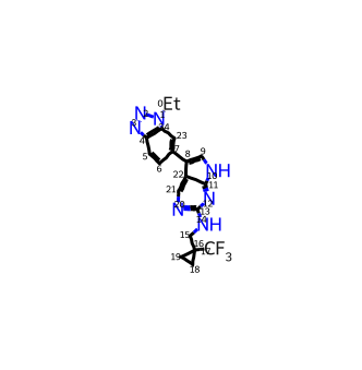 CCn1nnc2ccc(-c3c[nH]c4nc(NCC5(C(F)(F)F)CC5)ncc34)cc21